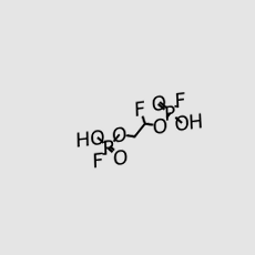 O=P(O)(F)OCC(F)OP(=O)(O)F